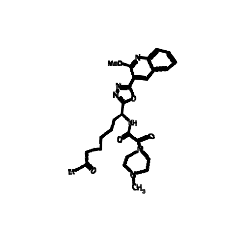 CCC(=O)CCCCC[C@H](NC(=O)C(=O)N1CCN(C)CC1)c1nnc(-c2cc3ccccc3nc2OC)o1